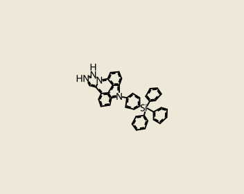 c1ccc([Si](c2ccccc2)(c2ccccc2)c2ccc(-n3c4cccc5c6c[nH][nH]n-6c6cccc3c6c54)cc2)cc1